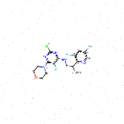 COC(CNc1nc(Cl)nc(N2CCOCC2)c1F)c1ncc(F)cc1F